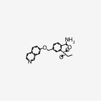 CCS(=O)(=O)c1cc(COc2ccc3ccncc3c2)ccc1C(N)=O